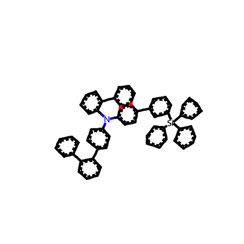 c1ccc(-c2ccccc2-c2ccc(N(c3ccc(-c4cccc([Si](c5ccccc5)(c5ccccc5)c5ccccc5)c4)cc3)c3ccccc3-c3ccccc3)cc2)cc1